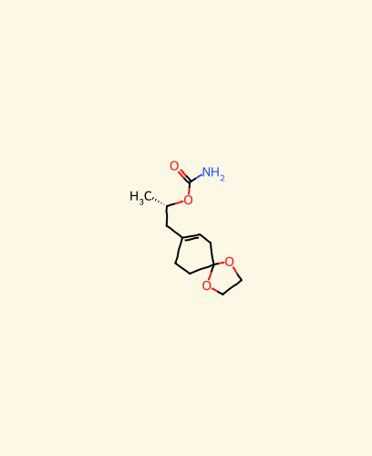 C[C@@H](CC1=CCC2(CC1)OCCO2)OC(N)=O